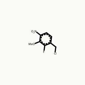 COc1c([N+](=O)[O-])ccc(CCl)c1F